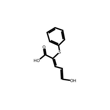 O=C(O)/C(=C/C=C/O)Sc1ccccc1